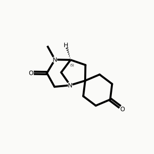 CN1C(=O)CN2C[C@@H]1CC21CCC(=O)CC1